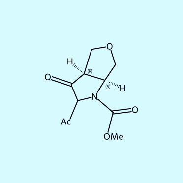 COC(=O)N1C(C(C)=O)C(=O)[C@H]2COC[C@H]21